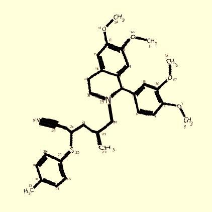 COc1ccc(C2c3cc(OC)c(OC)cc3CCN2CC(C)CC(C#N)Sc2ccc(C)cc2)cc1OC